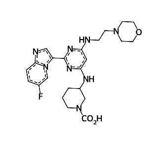 O=C(O)N1CCCC(Nc2cc(NCCN3CCOCC3)nc(-c3cnc4ccc(F)cn34)n2)C1